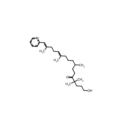 C/C(=C\c1ccccn1)CC/C=C(\C)CCCC(C)CCC(=O)C(C)(C)CCCO